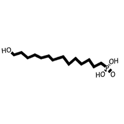 O=P(O)(O)CCCCCCCCCCCCCCO